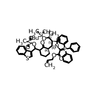 C=CCOC(=O)C(N1C(=O)[C@H]([C@@H](C)O[Si](C)(C)C(C)(C)C)[C@H]1[C@H]1CCCC(C(OS(C)(=O)=O)c2csc3ccccc23)C1=O)=P(c1ccccc1)(c1ccccc1)c1ccccc1